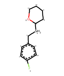 Fc1ccc(C[SiH2]C2CCCCO2)cc1